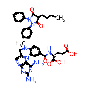 CCCCC1C(=O)N(c2ccccc2)N(c2ccccc2)C1=O.CN(Cc1cnc2nc(N)nc(N)c2n1)c1ccc(C(=O)N[C@@H](CCC(=O)O)C(=O)O)cc1